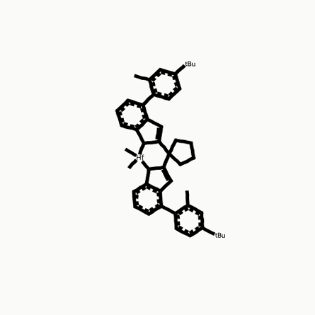 Cc1cc(C(C)(C)C)ccc1-c1cccc2c1C=C1[CH]2[Hf]([CH3])([CH3])[CH]2C(=Cc3c(-c4ccc(C(C)(C)C)cc4C)cccc32)C12CCCC2